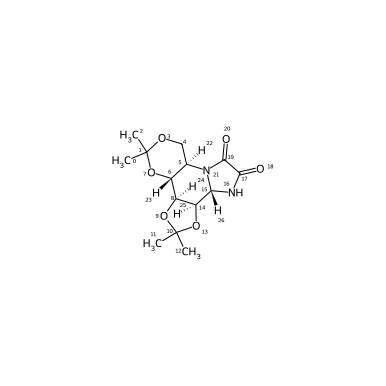 CC1(C)OC[C@@H]2[C@@H](O1)[C@@H]1OC(C)(C)O[C@@H]1[C@H]1NC(=O)C(=O)N21